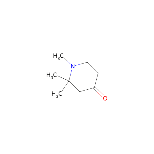 CN1CCC(=O)CC1(C)C